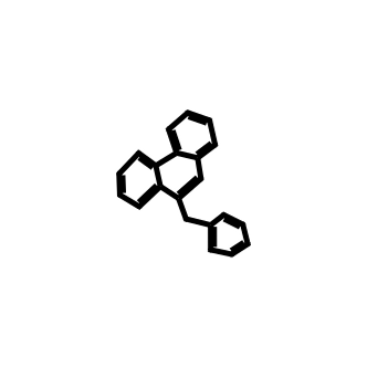 c1ccc(Cc2cc3ccccc3c3ccccc23)cc1